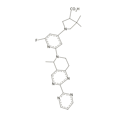 CC1c2cnc(-c3ncccn3)nc2CCN1c1cc(N2CC(C(=O)O)C(C)(C)C2)cc(F)n1